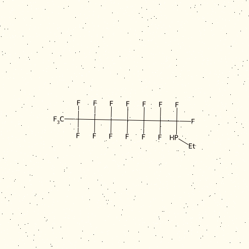 CCPC(F)(F)C(F)(F)C(F)(F)C(F)(F)C(F)(F)C(F)(F)C(F)(F)C(F)(F)F